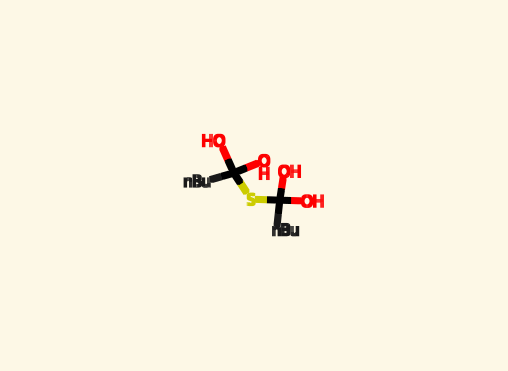 CCCCC(O)(O)SC(O)(O)CCCC